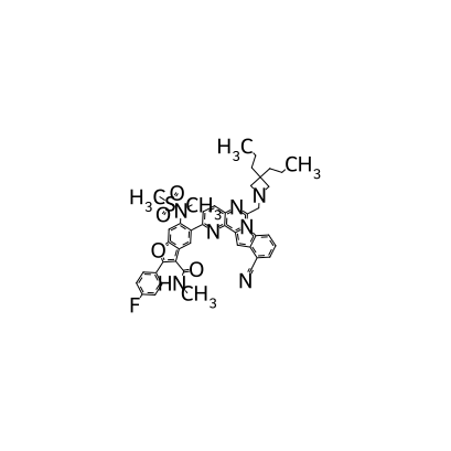 CCCC1(CCC)CN(Cc2nc3ccc(-c4cc5c(C(=O)NC)c(-c6ccc(F)cc6)oc5cc4N(C)S(C)(=O)=O)nc3c3cc4c(C#N)cccc4n23)C1